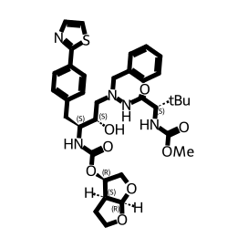 COC(=O)N[C@H](C(=O)NN(Cc1ccccc1)C[C@H](O)[C@H](Cc1ccc(-c2nccs2)cc1)NC(=O)O[C@H]1CO[C@H]2OCC[C@H]21)C(C)(C)C